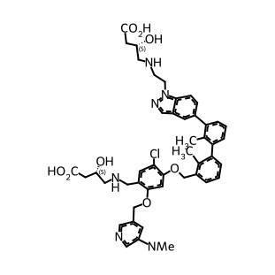 CNc1cncc(COc2cc(OCc3cccc(-c4cccc(-c5ccc6c(cnn6CCNC[C@@H](O)CC(=O)O)c5)c4C)c3C)c(Cl)cc2CNC[C@@H](O)CC(=O)O)c1